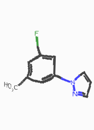 O=C(O)c1cc(F)cc(-n2cccn2)c1